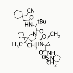 C=C[C@@H]1C[C@]1(NC(=O)[C@@H]1C[C@@]2(CN1C(=O)[C@@H](NC(=O)CC1(CC#N)CCCCC1)C(C)(C)C)C(C)(C)C21CCC1)C(=O)NS(=C)(=O)N1CCCC1